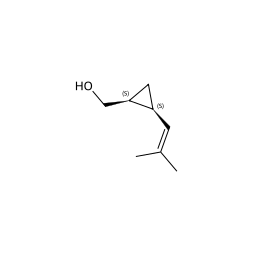 CC(C)=C[C@@H]1C[C@@H]1CO